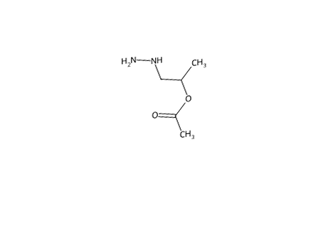 CC(=O)OC(C)CNN